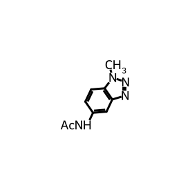 CC(=O)Nc1ccc2c(c1)nnn2C